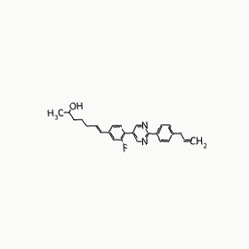 C=CCc1ccc(-c2ncc(-c3ccc(C=CCCCC(C)O)cc3F)cn2)cc1